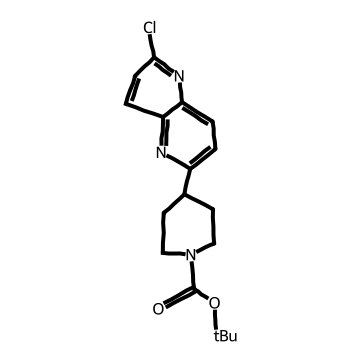 CC(C)(C)OC(=O)N1CCC(c2ccc3nc(Cl)ccc3n2)CC1